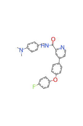 CN(C)c1ccc(CNC(=O)c2cc(-c3ccc(Oc4ccc(F)cc4)cc3)ccn2)cc1